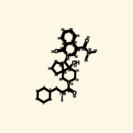 C[C@H](CC1CCCCC1)C(=O)N1CCC(O)(Cn2cc(C(=O)N(C)C)c3ccccc3c2=O)C2(CCCC2)C1